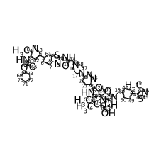 Cc1ncc(-c2ccc3nc(NC(=O)CN4CCN(c5ccc(C(=O)N[C@H](C(=O)N6C[C@H](O)C[C@H]6C(=O)NCc6ccc(-c7scnc7C)cc6)C(C)(C)C)nn5)CC4)sc3c2)cc1NC(=O)OC1CCCCC1